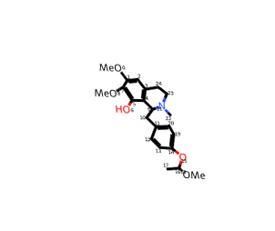 COc1cc2c(c(O)c1OC)C(Cc1ccc(OC(C)OC)cc1)N(C)CC2